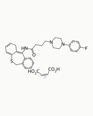 O=C(CCCN1CCN(c2ccc(F)cc2)CC1)NC1=C2CC=CC=C2SCc2ccccc21.O=C(O)/C=C\C(=O)O